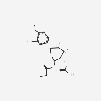 CCC(=O)O[C@H]1O[C@H](c2ccc(OC)c(O)c2)[C@@H](O)[C@@H](O)[C@@H]1OC(C)=O